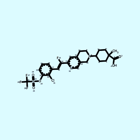 CC1(C(=O)O)CCC(N2CCc3cc(/C(F)=C/c4cccc(OS(=O)(=O)C(F)(F)F)c4Cl)ncc3C2)CC1